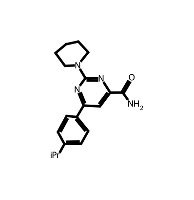 CC(C)c1ccc(-c2cc(C(N)=O)nc(N3CCCCC3)n2)cc1